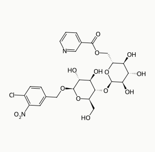 O=C(OC[C@H]1O[C@H](O[C@H]2[C@H](O)[C@@H](O)[C@H](OCc3ccc(Cl)c([N+](=O)[O-])c3)O[C@@H]2CO)[C@H](O)[C@@H](O)[C@@H]1O)c1cccnc1